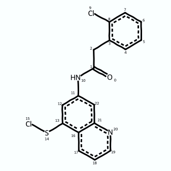 O=C(Cc1ccccc1Cl)Nc1cc(SCl)c2cccnc2c1